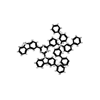 c1ccc(-c2cccc([Si](c3cccc(-c4ccccc4)c3)(c3cccc(-c4ccccc4)c3)c3cccc(-c4nc(-c5ccc6sc7ccccc7c6c5)nc(-n5c6ccccc6c6cc(-c7ccccc7)ccc65)n4)c3)c2)cc1